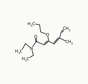 C=C/C(C)=C\C(=C\C(=O)N(CC)CC)OCCC